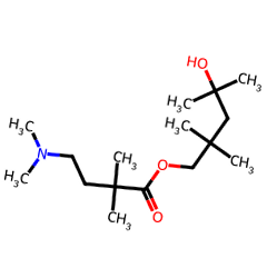 CN(C)CCC(C)(C)C(=O)OCC(C)(C)CC(C)(C)O